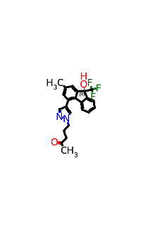 CC(=O)CCCn1cc(-c2cc(C)cc3c2-c2ccccc2[C@]3(O)C(F)(F)F)cn1